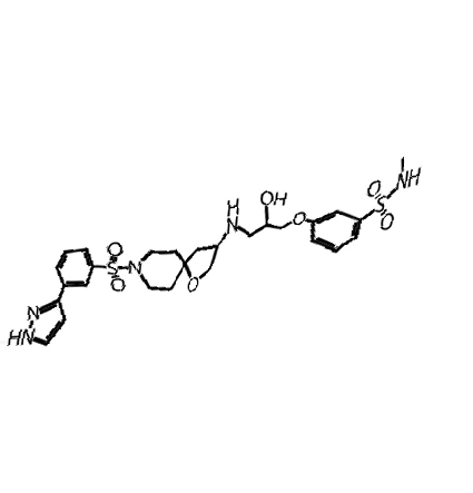 CNS(=O)(=O)c1cccc(OCC(O)CN[C@H]2COC3(CCN(S(=O)(=O)c4cccc(-c5cc[nH]n5)c4)CC3)C2)c1